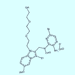 CCn1c(CN(C=O)c2nc(Br)cnc2N)[n+](CCOCCOCCO)c2ccc(OC)cc21.O=C[O-]